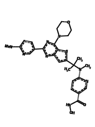 CNc1ccc(-c2nc(N3CCOCC3)c3sc(C(C)(C)N(C)c4ccc(C(=O)NO)cn4)cc3n2)cn1